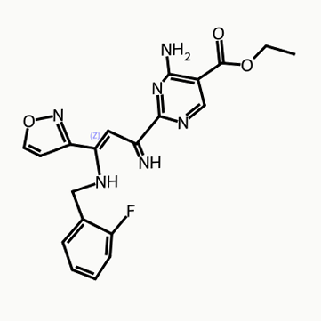 CCOC(=O)c1cnc(C(=N)/C=C(\NCc2ccccc2F)c2ccon2)nc1N